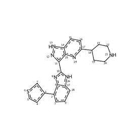 c1cc(-c2ccsc2)c2nc(-c3n[nH]c4ccc(C5CCNCC5)nc34)[nH]c2c1